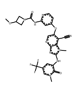 COC1CN(C(=O)Nc2cc(Oc3cnc4nc(Nc5cc(C(F)(F)F)cn(C)c5=O)n(C)c4c3C#N)ccn2)C1